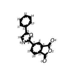 O=C1OC(=O)c2cc(-c3ncc(-c4ccccc4)o3)ccc21